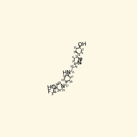 Oc1ccc(-c2ccc(CCCNc3ccc(CN4CCC(O)(C(F)(F)F)CC4)cc3)nn2)cc1